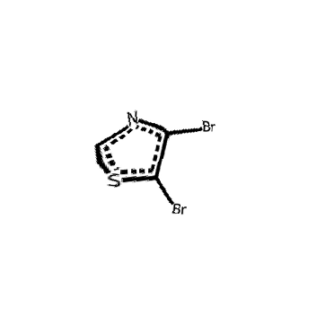 Brc1ncsc1Br